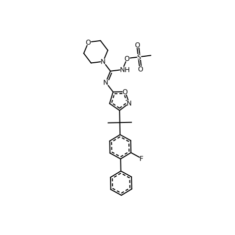 CC(C)(c1ccc(-c2ccccc2)c(F)c1)c1cc(N=C(NOS(C)(=O)=O)N2CCOCC2)on1